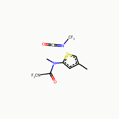 Cc1csc(N(C)C(=O)NC(F)(F)F)c1.O=C=NC(F)(F)F